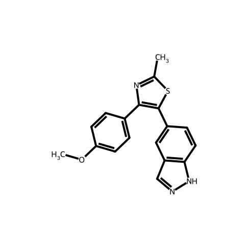 COc1ccc(-c2nc(C)sc2-c2ccc3[nH]ncc3c2)cc1